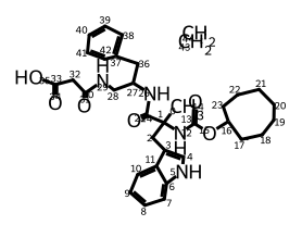 CC(Cc1c[nH]c2ccccc12)(NC(=O)OC1[CH]CCCCCC1)C(=O)NC(CNC(=O)CC(=O)O)Cc1ccccc1.[CH2].[CH2]